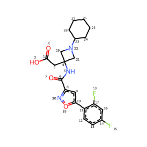 O=C(O)CC1(NC(=O)c2cc(-c3ccc(F)cc3F)on2)CN(C2CCCCC2)C1